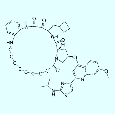 COc1ccc2c(O[C@@H]3C[C@H]4C(=O)NC(CC5CCC5)C(=O)C(=O)Nc5ccccc5NCCCCCCCCC(=O)N4C3)cc(-c3csc(NC(C)C)n3)nc2c1